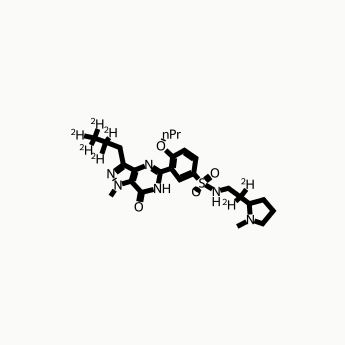 [2H]C([2H])(CNS(=O)(=O)c1ccc(OCCC)c(-c2nc3c(CC([2H])([2H])C([2H])([2H])[2H])nn(C)c3c(=O)[nH]2)c1)C1CCCN1C